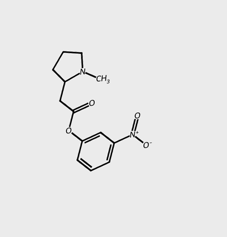 CN1CCCC1CC(=O)Oc1cccc([N+](=O)[O-])c1